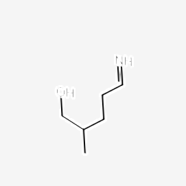 CC(CO)CCC=N